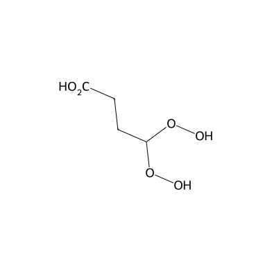 O=C(O)CCC(OO)OO